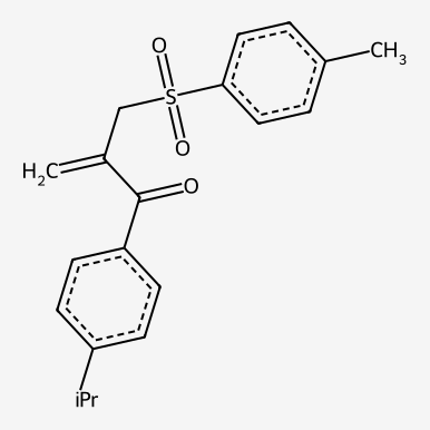 C=C(CS(=O)(=O)c1ccc(C)cc1)C(=O)c1ccc(C(C)C)cc1